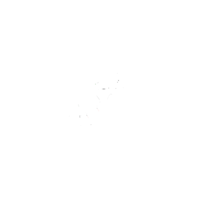 CC(C)(C)[Si](C)(C)Oc1ccc(C(=O)CC(=O)C(F)(F)F)cc1Cl